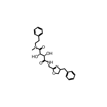 CN(CCc1ccccc1)C(=O)[C@H](O)[C@@H](O)C(=O)NCC1=NC(Cc2ccccc2)CO1